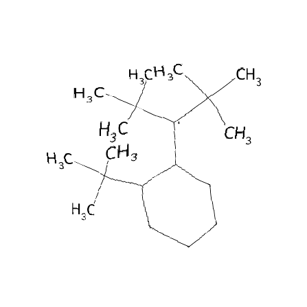 CC(C)(C)[C](C1CCCCC1C(C)(C)C)C(C)(C)C